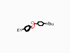 CCCCC1CCC(C(=O)Oc2ccc(CC)cc2)CC1